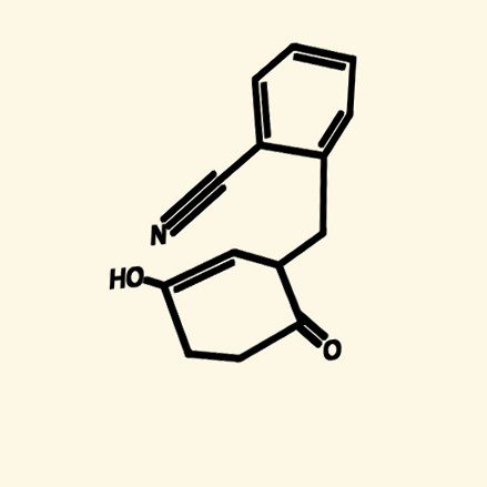 N#Cc1ccccc1CC1C=C(O)CCC1=O